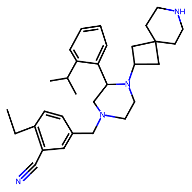 CCc1ccc(CN2CCN(C3CC4(CCNCC4)C3)C(c3ccccc3C(C)C)C2)cc1C#N